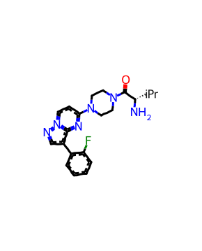 CC(C)[C@H](N)C(=O)N1CCN(c2ccn3ncc(-c4ccccc4F)c3n2)CC1